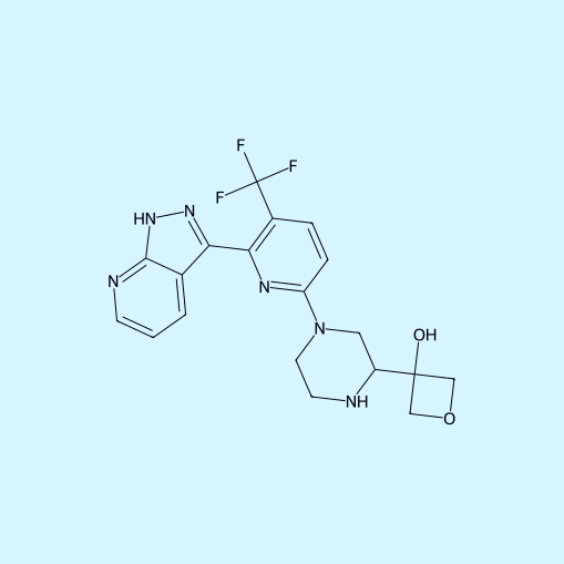 OC1(C2CN(c3ccc(C(F)(F)F)c(-c4n[nH]c5ncccc45)n3)CCN2)COC1